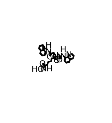 O=C(CCCCC(=O)N(CC(=O)Nc1cccc2cccnc12)CC(=O)Nc1cccc2cccnc12)NO